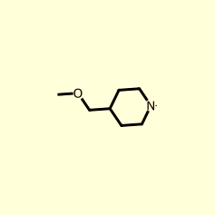 COCC1CC[N]CC1